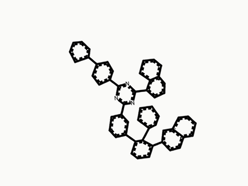 c1ccc(-c2ccc(-c3nc(-c4cccc(-c5cccc(-c6ccc7ccccc7c6)c5-c5ccccc5)c4)nc(-c4cccc5ccccc45)n3)cc2)cc1